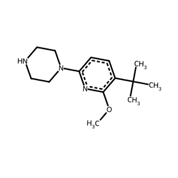 COc1nc(N2CCNCC2)ccc1C(C)(C)C